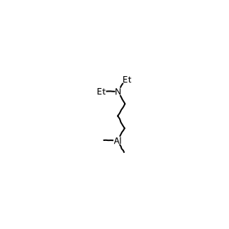 CCN(CC)CC[CH2][Al]([CH3])[CH3]